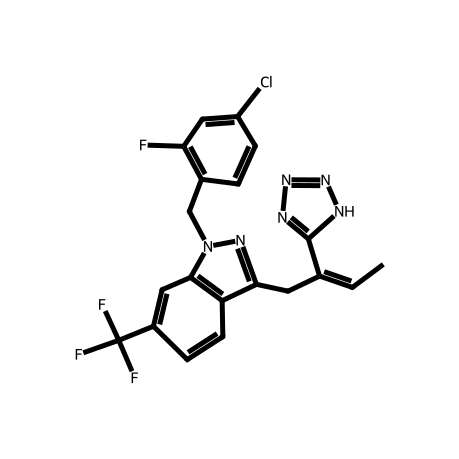 CC=C(Cc1nn(Cc2ccc(Cl)cc2F)c2cc(C(F)(F)F)ccc12)c1nnn[nH]1